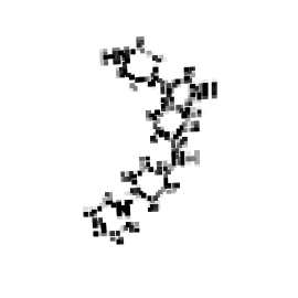 c1cc2c(C3CCNCC3)c[nH]c2cc1NC1CCC(N2CCOCC2)CC1